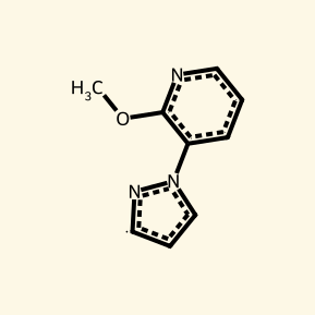 COc1ncccc1-n1cc[c]n1